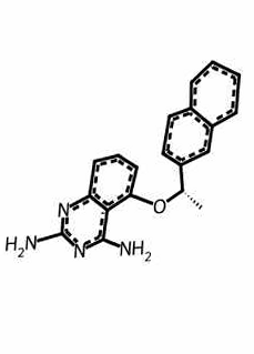 C[C@H](Oc1cccc2nc(N)nc(N)c12)c1ccc2ccccc2c1